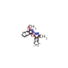 COc1nnc(Oc2nnc(C)c3c2C2c4ccccc4C3c3ccccc32)c2c1C1c3ccccc3C2c2ccccc21